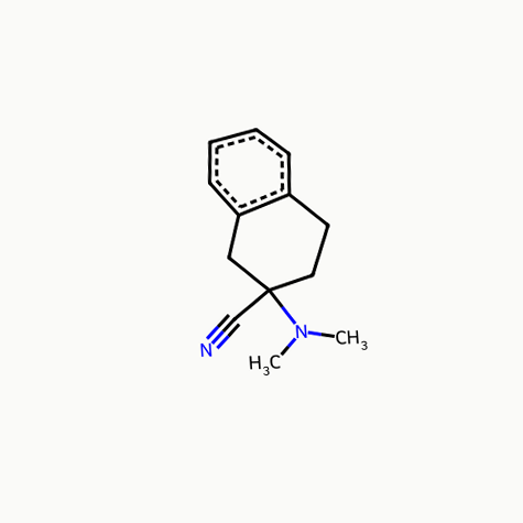 CN(C)C1(C#N)CCc2ccccc2C1